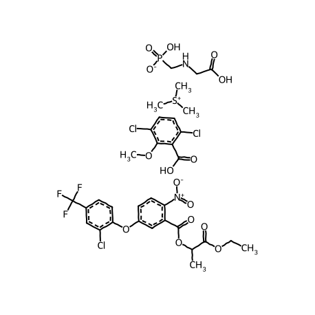 CCOC(=O)C(C)OC(=O)c1cc(Oc2ccc(C(F)(F)F)cc2Cl)ccc1[N+](=O)[O-].COc1c(Cl)ccc(Cl)c1C(=O)O.C[S+](C)C.O=C(O)CNCP(=O)([O-])O